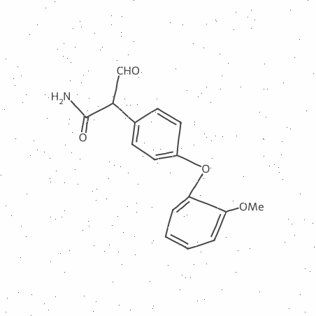 COc1ccccc1Oc1ccc(C(C=O)C(N)=O)cc1